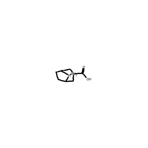 NN1C2CCC1CN(C(=O)O)C2